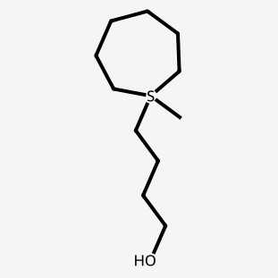 CS1(CCCCO)CCCCCC1